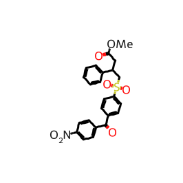 COC(=O)CC(CS(=O)(=O)c1ccc(C(=O)c2ccc([N+](=O)[O-])cc2)cc1)c1ccccc1